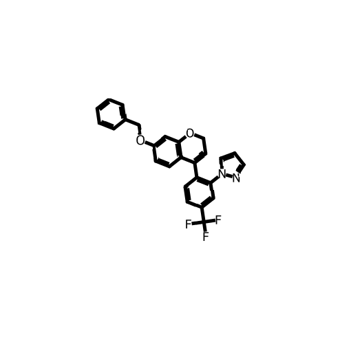 FC(F)(F)c1ccc(C2=CCOc3cc(OCc4ccccc4)ccc32)c(-n2cccn2)c1